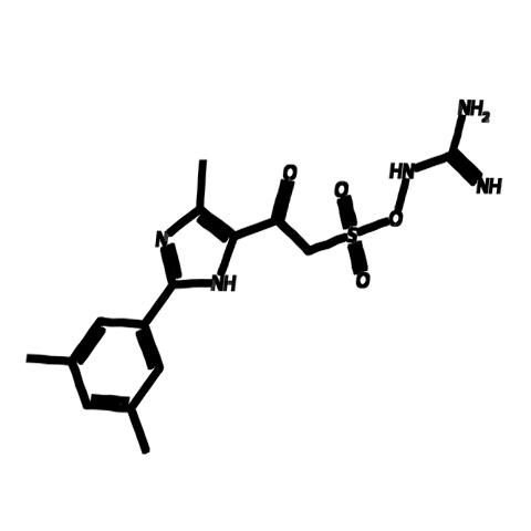 Cc1cc(C)cc(-c2nc(C)c(C(=O)CS(=O)(=O)ONC(=N)N)[nH]2)c1